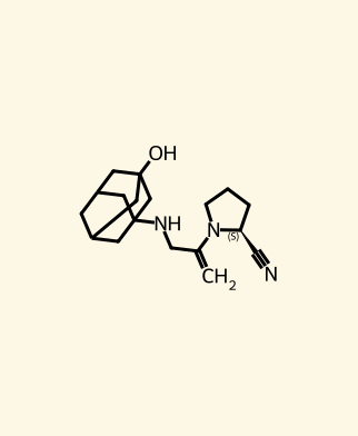 C=C(CNC12CC3CC(CC(O)(C3)C1)C2)N1CCC[C@H]1C#N